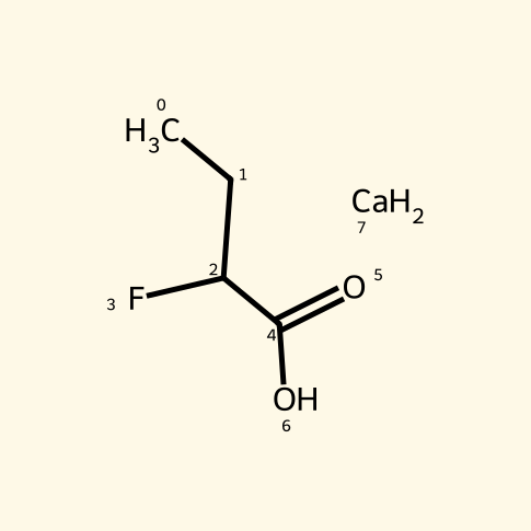 CCC(F)C(=O)O.[CaH2]